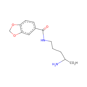 NC(CCCNC(=O)c1ccc2c(c1)OCO2)C(=O)O